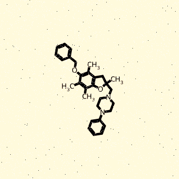 Cc1c(C)c2c(c(C)c1OCc1ccccc1)CC(C)(CN1CCN(c3ccccc3)CC1)O2